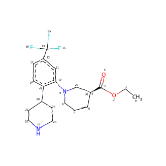 CCOC(=O)[C@H]1CCCN(c2cc(C(F)(F)F)ccc2C2CCNCC2)C1